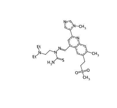 CCN(CC)CCN(/N=C/c1cc(-c2cncn2C)nc2cc(C)c(CCS(C)(=O)=O)cc12)C(N)=S